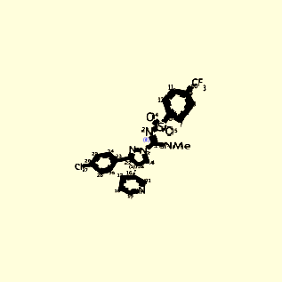 CN/C(=N\S(=O)(=O)c1ccc(C(F)(F)F)cc1)N1C[C@H](c2cccnc2)C(c2ccc(Cl)cc2)=N1